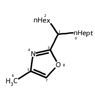 CCCCCCCC(CCCCCC)c1nc(C)co1